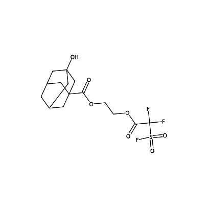 O=C(OCCOC(=O)C(F)(F)S(=O)(=O)F)C12CC3CC(CC(O)(C3)C1)C2